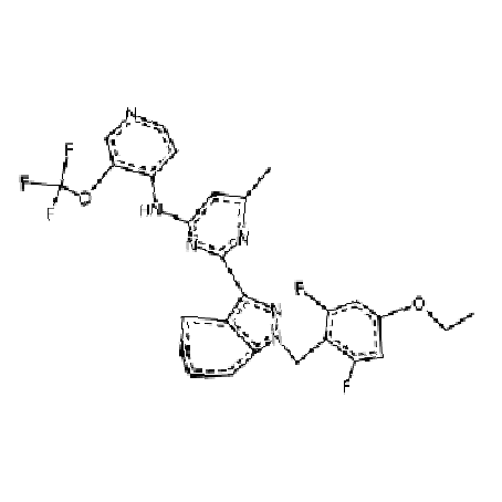 CCOc1cc(F)c(Cn2nc(-c3nc(C)cc(Nc4ccncc4OC(F)(F)F)n3)c3ccccc32)c(F)c1